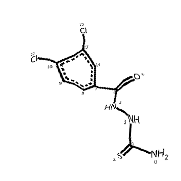 NC(=S)NNC(=O)c1ccc(Cl)c(Cl)c1